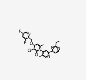 CCc1nccc(-c2cc(-n3c(C)cc(OCc4ncc(F)cc4F)c(Cl)c3=O)c(C)cn2)n1